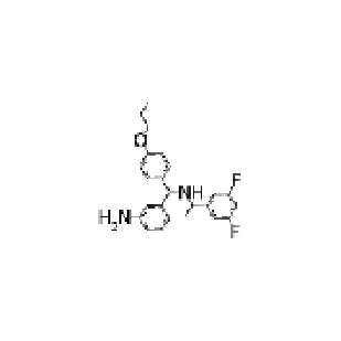 CCCOc1ccc(C(NC(C)c2cc(F)cc(F)c2)c2cccc(N)c2)cc1